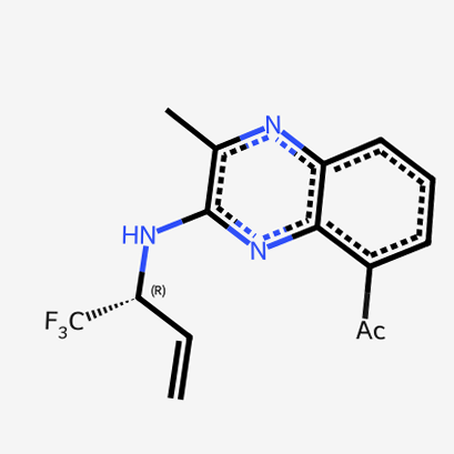 C=C[C@@H](Nc1nc2c(C(C)=O)cccc2nc1C)C(F)(F)F